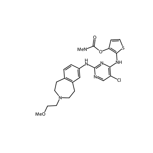 CNC(=O)Oc1ccsc1Nc1nc(Nc2ccc3c(c2)CCN(CCOC)CC3)ncc1Cl